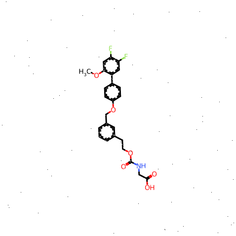 COc1cc(F)c(F)cc1-c1ccc(OCc2cccc(CCOC(=O)NCC(=O)O)c2)cc1